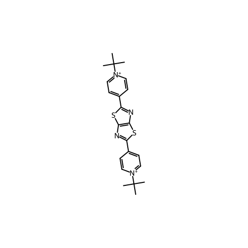 CC(C)(C)[n+]1ccc(-c2nc3sc(-c4cc[n+](C(C)(C)C)cc4)nc3s2)cc1